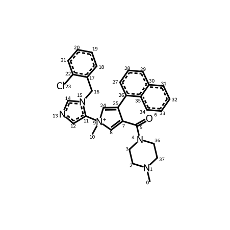 CN1CCN(C(=O)C2=C[N+](C)(c3cncn3Cc3ccccc3Cl)C=C2c2cccc3ccccc23)CC1